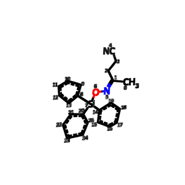 CC(CCC#N)=NO[Si](c1ccccc1)(c1ccccc1)c1ccccc1